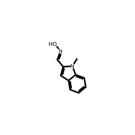 Cn1c(/[C]=N/O)cc2ccccc21